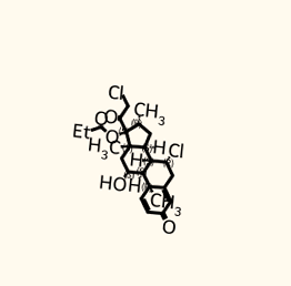 CCC(=O)O[C@@]1(C(=O)CCl)[C@H](C)C[C@H]2[C@H]3[C@H]([C@@H](O)C[C@@]21C)[C@@]1(C)C=CC(=O)C=C1C[C@H]3Cl